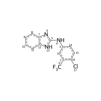 FC(F)(F)c1cc(Nc2nc3ccccc3[nH]2)ccc1Cl